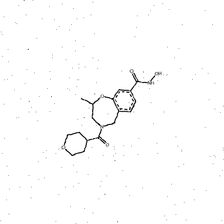 CC1CN(C(=O)C2CCOCC2)Cc2ccc(C(=O)NO)cc2O1